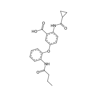 CCCC(=O)Nc1ccccc1Oc1ccc(NC(=O)C2CC2)c(C(=O)O)c1